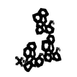 Cc1ccccc1[P+](Cc1ccccc1)(c1ccccc1C)c1ccccc1C.Cc1ccccc1[P+](Cc1ccccc1)(c1ccccc1C)c1ccccc1C.Cc1ccccc1[P+](Cc1ccccc1)(c1ccccc1C)c1ccccc1C.O=P([O-])([O-])[O-]